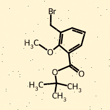 COc1c(CBr)cccc1C(=O)OC(C)(C)C